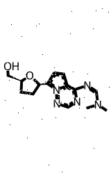 CN(C)/C=N\c1ncnn2c([C@H]3CC[C@@H](CO)O3)ccc12